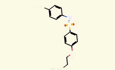 CCCCCCCCCCCCOc1ccc(S(=O)(=O)Nc2ccc(C=O)cc2)cc1